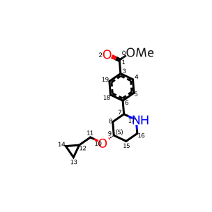 COC(=O)c1ccc(C2C[C@@H](OCC3CC3)CCN2)cc1